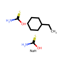 CCC1CCCCC1.NC(O)=S.NC(O)=S.[NaH]